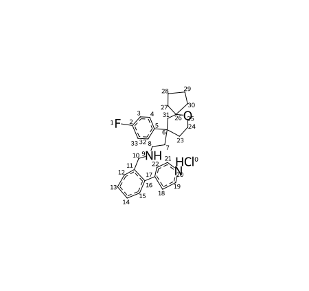 Cl.Fc1ccc(C2(CCNCc3ccccc3-c3ccncc3)CCOC3(CCCC3)C2)cc1